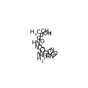 Cc1c(-c2cc3cc(NC(=O)O[C@H]4C[C@](C)(O)[C@H]4C)ncc3c(N)c2F)cnc2c1NCCO2